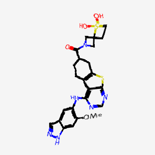 COc1cc2[nH]ncc2cc1Nc1ncnc2sc3c(c12)CCC(C(=O)N1CC2(CCS2(O)O)C1)C3